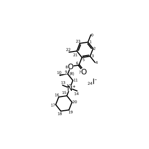 Cc1cc(C)c(C(=O)O[C@H](C)C[N+](C)(C)C2CCCCC2)c(C)c1.[I-]